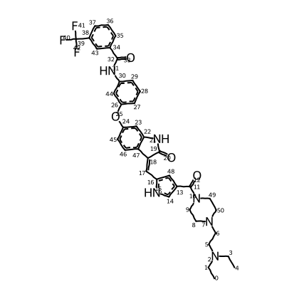 CCN(CC)CCN1CCN(C(=O)c2c[nH]c(C=C3C(=O)Nc4cc(Oc5cccc(NC(=O)c6cccc(C(F)(F)F)c6)c5)ccc43)c2)CC1